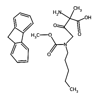 CCCCCN(CC(=O)C(C)(N)C(=O)O)C(=O)OC.c1ccc2c(c1)Cc1ccccc1-2